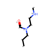 CCCN(C=O)CCNC